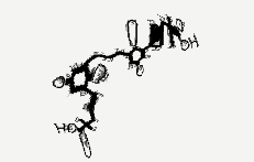 CC(C)(CCCC1=CC(=O)C=C(CCCC2=CC(=O)C=C(CCCC(C)(C)C(=O)O)C2=O)C1=O)C(=O)O